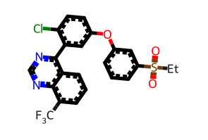 CCS(=O)(=O)c1cccc(Oc2ccc(Cl)c(-c3ncnc4c(C(F)(F)F)cccc34)c2)c1